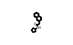 O=C(Cc1ccc2ccccc2c1)NC1CCCC1